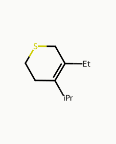 CCC1=C(C(C)C)CCSC1